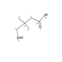 CC(=O)OCC(C)(C)CC(=O)C(C)C